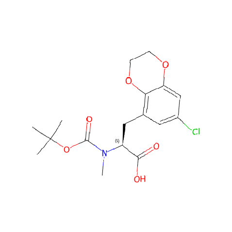 CN(C(=O)OC(C)(C)C)[C@@H](Cc1cc(Cl)cc2c1OCCO2)C(=O)O